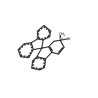 C[C@@]1(Br)C=CC2=C(C1)C1(c3ccccc32)c2ccccc2-c2ccccc21